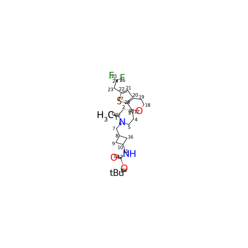 C[C@H]1C[C@@]2(CCN1CC1CC(NC(=O)OC(C)(C)C)C1)OCCc1cc(CC(F)F)sc12